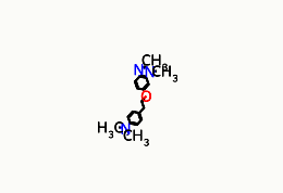 Cc1nc2ccc(OCCc3ccc(N(C)C)cc3)cc2n1C